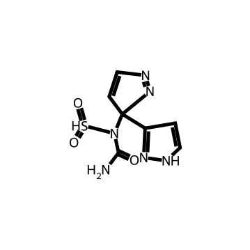 NC(=O)N([SH](=O)=O)C1(c2cc[nH]n2)C=CN=N1